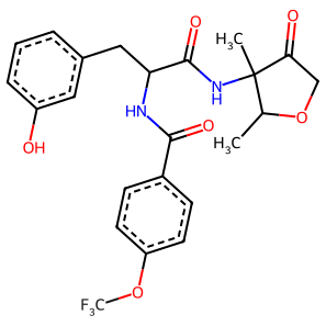 CC1OCC(=O)C1(C)NC(=O)C(Cc1cccc(O)c1)NC(=O)c1ccc(OC(F)(F)F)cc1